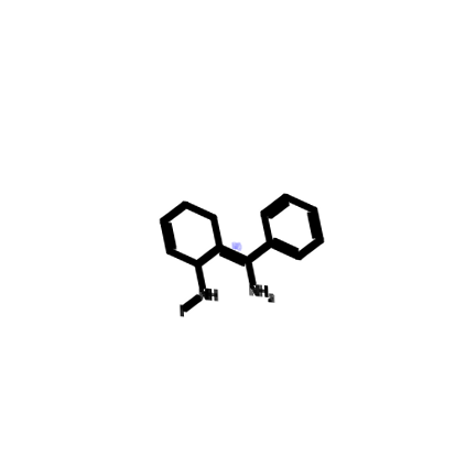 N/C(=C1/CCC=CC1NI)c1ccccc1